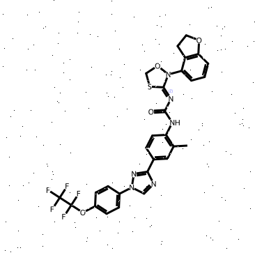 Cc1cc(-c2ncn(-c3ccc(OC(F)(F)C(F)(F)F)cc3)n2)ccc1NC(=O)/N=C1\SCON1c1cccc2c1CCO2